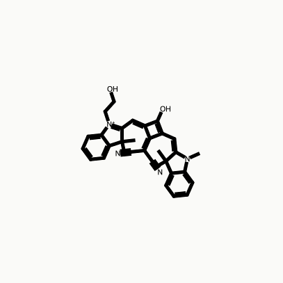 CN1/C(=C/C2=C(O)C(=C/C3=[N+](CCO)c4ccccc4C3(C)C)/C2=C(C#N)C#N)C(C)(C)c2ccccc21